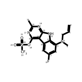 C=CCN(C)c1cc(F)cc2c1[nH]c1nc(C)nc(OS(=O)(=O)C(F)(F)F)c12